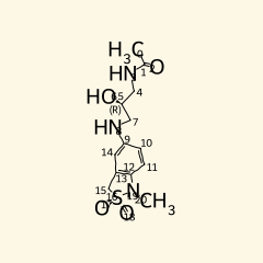 CC(=O)NC[C@H](O)CNc1ccc2c(c1)CS(=O)(=O)N2C